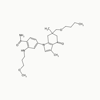 CCCCOCC1(C)CC(=O)c2c(C)cn(-c3ccc(C(N)=O)c(NCCCOC)c3)c2C1